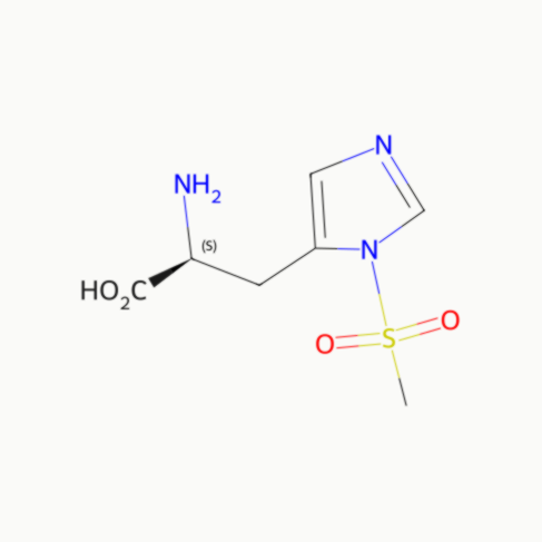 CS(=O)(=O)n1cncc1C[C@H](N)C(=O)O